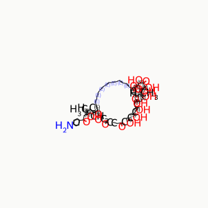 C[C@H](C[C@H](C)[C@@H]1OC(=O)CC(=O)CCCC(=O)C[C@@H](O)C[C@@H](O)C[C@@H](O)C[C@]2(O)C[C@H](O)[C@H](C(=O)O)[C@H](C[C@H](O[C@@H]3O[C@@H](C)[C@@H](O)C(=O)[C@H]3O)/C=C/C=C/C=C/C=C/C=C/C=C/C=C/[C@@H]1C)O2)[C@H](O)CC(=O)c1ccc(N)cc1